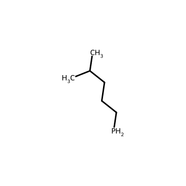 CC(C)CCCP